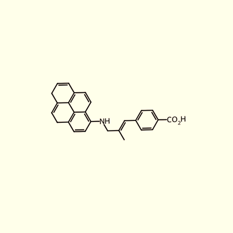 CC(=Cc1ccc(C(=O)O)cc1)CNc1ccc2c3c4c(ccc13)C=CCC4=CC2